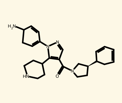 NC1C=CC(n2ncc(C(=O)N3CC[C@H](C4C=CC=CC4)C3)c2C2CCNCC2)=CC1